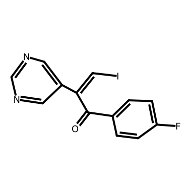 O=C(C(=CI)c1cncnc1)c1ccc(F)cc1